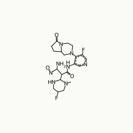 CN1CC(F)CNC1C(C(=O)Nc1cncc(F)c1N1CCN2C(=O)CCC2C1)C(N)N=O